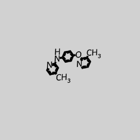 Cc1ccnc(Nc2ccc(Oc3ncccc3C)cc2)c1